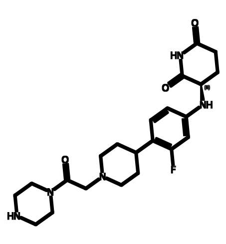 O=C1CC[C@@H](Nc2ccc(C3CCN(CC(=O)N4CCNCC4)CC3)c(F)c2)C(=O)N1